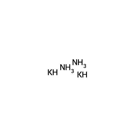 N.N.[KH].[KH]